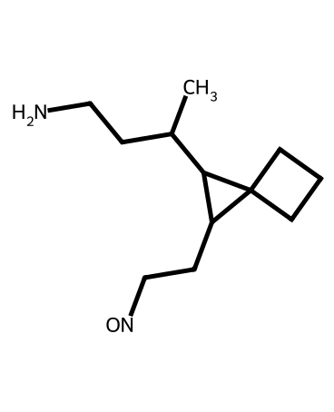 CC(CCN)C1C(CCN=O)C12CCC2